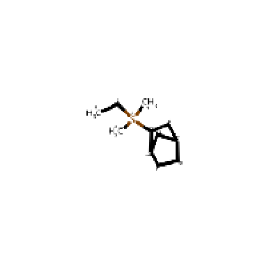 CCS(C)(C)C1CC2CCC1C2